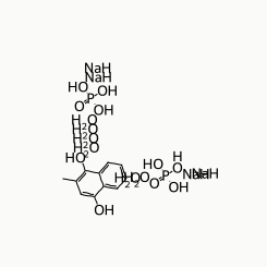 Cc1cc(O)c2ccccc2c1O.O.O.O.O.O.O.O=P(O)(O)O.O=P(O)(O)O.[NaH].[NaH].[NaH].[NaH]